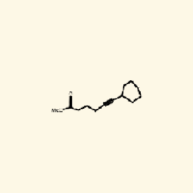 COC(=O)CCCC#CC1CC[CH]CC1